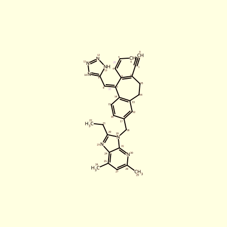 C#CC1=C(/C=C\C)/C(=C\c2nnn[nH]2)c2ccc(Cn3c(CC)nc4c(C)cc(C)nc43)cc2CC1